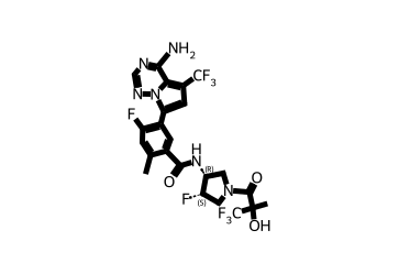 Cc1cc(F)c(-c2cc(C(F)(F)F)c3c(N)ncnn23)cc1C(=O)N[C@@H]1CN(C(=O)C(C)(O)C(F)(F)F)C[C@@H]1F